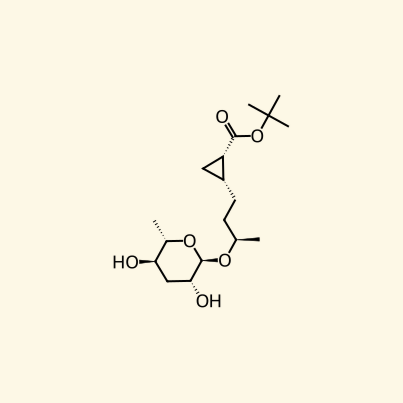 C[C@H](CC[C@@H]1C[C@@H]1C(=O)OC(C)(C)C)O[C@@H]1O[C@@H](C)[C@H](O)C[C@H]1O